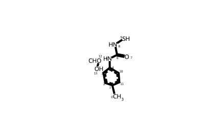 Cc1ccc(NC(=O)NS)cc1.O=CO